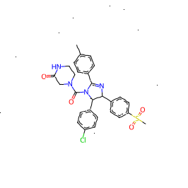 Cc1ccc(C2=NC(c3ccc(S(C)(=O)=O)cc3)C(c3ccc(Cl)cc3)N2C(=O)N2CCNC(=O)C2)cc1